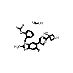 Cc1nc2cc(F)c(-c3cnc(C4(O)CNC4)nc3)cc2n1Cc1ccccc1OC(F)F.O=CO